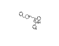 O=C(Nc1ccccc1OCCCN1CCC(Cc2ccccc2)CC1)c1cccnc1